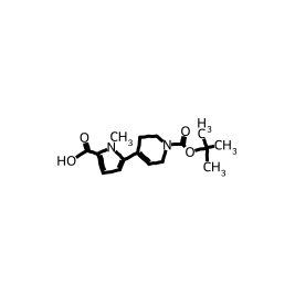 Cn1c(C(=O)O)ccc1C1=CCN(C(=O)OC(C)(C)C)CC1